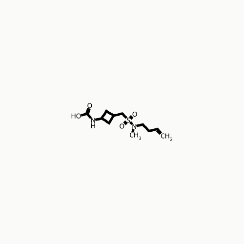 C=CCCN(C)S(=O)(=O)CC1CC(NC(=O)O)C1